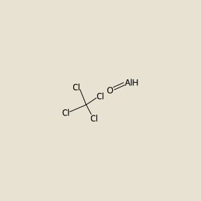 ClC(Cl)(Cl)Cl.[O]=[AlH]